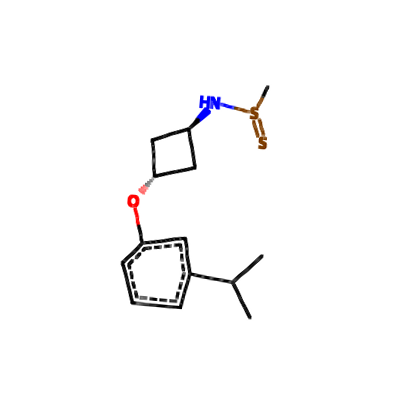 CC(C)c1cccc(O[C@H]2C[C@H](NS(C)=S)C2)c1